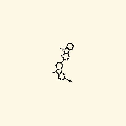 Cn1c2ccc(C#N)cc2c2cc(-c3ccc4c5ccccc5n(C)c4n3)ccc21